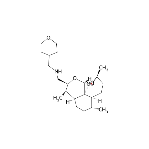 C[C@H]1[C@@H](CNCC2CCOCC2)O[C@@H]2O[C@@]3(C)CC[C@H]4[C@H](C)CC[C@@H]1[C@@]24OO3